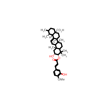 COc1ccc(/C=C/C(=O)O[C@@H]2[C@H](O)C[C@@]3(C)C(CC[C@]4(C)C3CC=C3[C@@H]5[C@@H](C)C(C)CC[C@]5(C(=O)O)CC[C@]34C)C2(C)C)cc1O